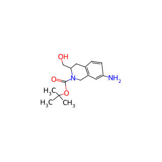 CC(C)(C)OC(=O)N1Cc2cc(N)ccc2CC1CO